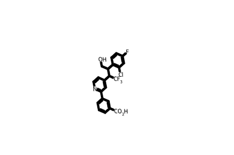 O=C(O)c1cccc(-c2cc(C(C(CO)c3ccc(F)cc3Cl)C(F)(F)F)ccn2)c1